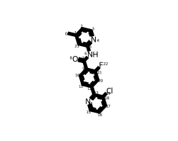 Cc1ccnc(NC(=O)c2ccc(-c3ncccc3Cl)cc2F)c1